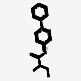 CCC(C)C(=O)/N=c1\ccn(-c2ccccc2)nc1